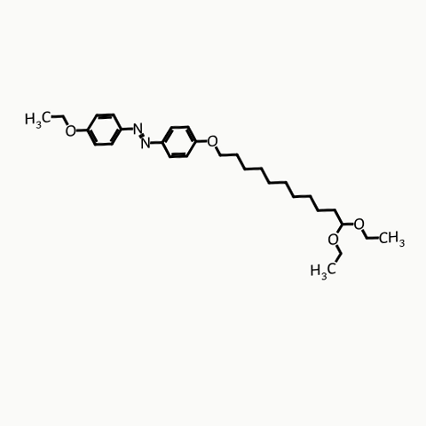 CCOc1ccc(N=Nc2ccc(OCCCCCCCCCCC(OCC)OCC)cc2)cc1